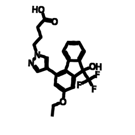 CCOc1cc(-c2cnn(CCCC(=O)O)c2)c2c(c1)C(O)(C(F)(F)F)c1ccccc1-2